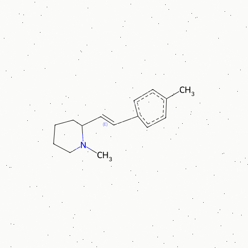 Cc1ccc(/C=C/C2CCCCN2C)cc1